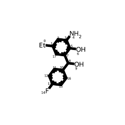 CCc1cc(N)c(O)c(C(O)c2ccc(F)cc2)c1